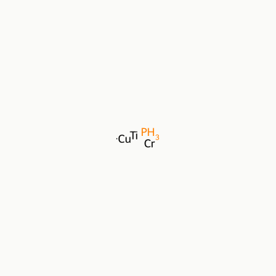 P.[Cr].[Cu].[Ti]